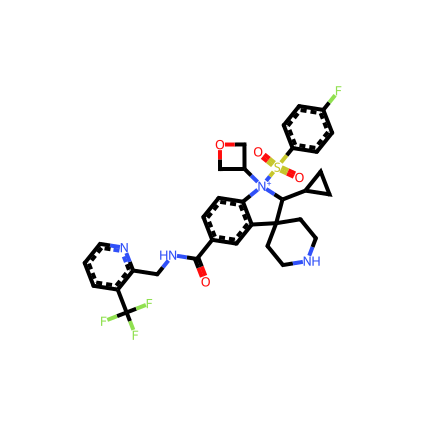 O=C(NCc1ncccc1C(F)(F)F)c1ccc2c(c1)C1(CCNCC1)C(C1CC1)[N+]2(C1COC1)S(=O)(=O)c1ccc(F)cc1